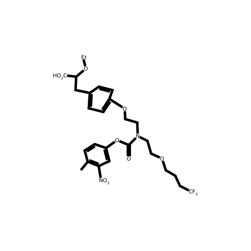 CCOC(Cc1ccc(OCCN(CCOCCCC(F)(F)F)C(=O)Oc2ccc(C)c([N+](=O)[O-])c2)cc1)C(=O)O